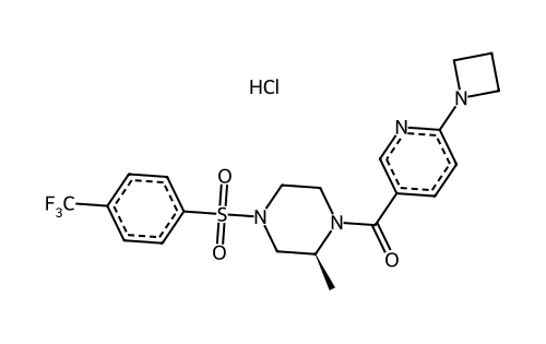 C[C@H]1CN(S(=O)(=O)c2ccc(C(F)(F)F)cc2)CCN1C(=O)c1ccc(N2CCC2)nc1.Cl